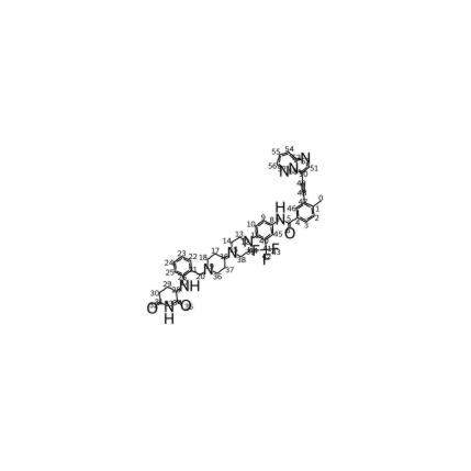 Cc1ccc(C(=O)Nc2ccc(N3CCN(C4CCN(Cc5ccccc5NC5CCC(=O)NC5=O)CC4)CC3)c(C(F)(F)F)c2)cc1C#Cc1cnc2cccnn12